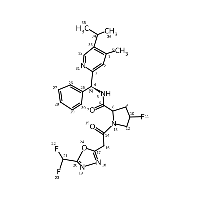 Cc1cc([C@@H](NC(=O)C2CC(F)CN2C(=O)Cc2nnc(C(F)F)o2)c2ccccc2)ncc1C(C)C